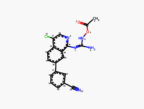 CC(=O)ONC(N)=Nc1ncc(Cl)c2ccc(-c3cccc(C#N)c3)cc12